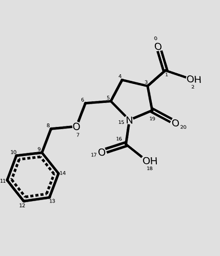 O=C(O)C1CC(COCc2ccccc2)N(C(=O)O)C1=O